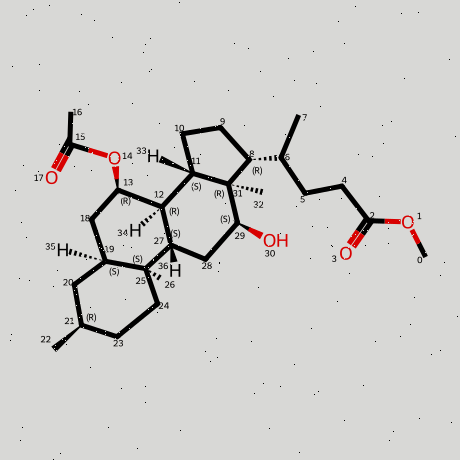 COC(=O)CCC(C)[C@H]1CC[C@H]2[C@@H]3[C@H](OC(C)=O)C[C@@H]4C[C@H](C)CC[C@]4(C)[C@H]3C[C@H](O)[C@]12C